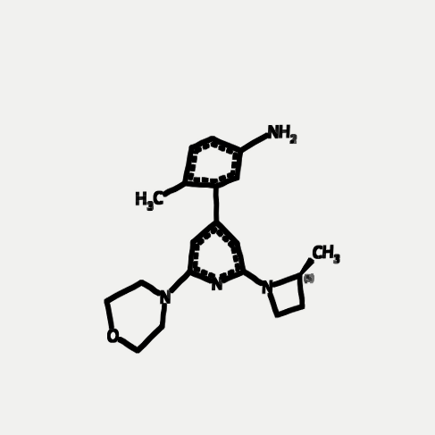 Cc1ccc(N)cc1-c1cc(N2CCOCC2)nc(N2CC[C@@H]2C)c1